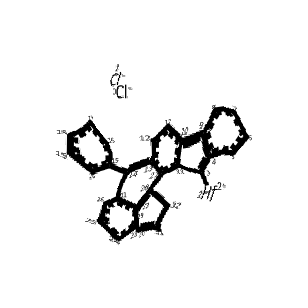 [Cl-].[Cl-].[Hf+2][C]1=c2ccccc2=c2ccc(=C(c3ccccc3)c3ccccc3)c(C3=CC=CC3)c21